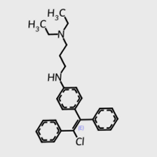 CCN(CC)CCCNc1ccc(/C(=C(/Cl)c2ccccc2)c2ccccc2)cc1